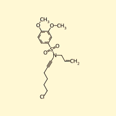 C=CCN(C#CCCCCCl)S(=O)(=O)c1ccc(OC)c(OC)c1